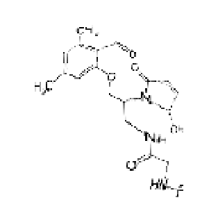 Cc1cc(C)c(C=O)c(OCC(CNC(=O)CNF)N2C(=O)C=CC2O)c1